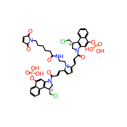 O=C(CCCCCN1C(=O)C=CC1=O)NCCn1c(C=CC(=O)N2C[C@@H](CCl)c3c2cc(OP(=O)(O)O)c2ccccc32)ccc1C=CC(=O)N1C[C@@H](CCl)c2c1cc(OP(=O)(O)O)c1ccccc21